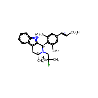 COc1cc(/C=C/C(=O)O)cc(OC)c1[C@@H]1c2[nH]c3ccccc3c2C[C@@H](C)N1CC(C)(C)F